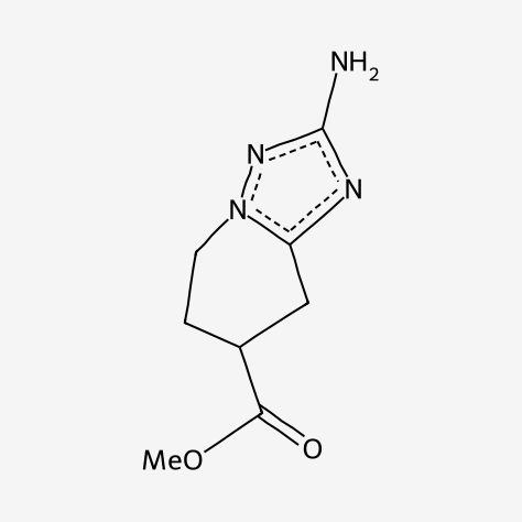 COC(=O)C1CCn2nc(N)nc2C1